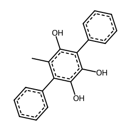 Cc1c(O)c(-c2ccccc2)c(O)c(O)c1-c1ccccc1